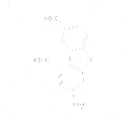 Cl.Cl.O=C(O)c1ccc2c(c1)sc1ccc(C(=O)O)cc12